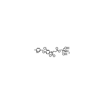 Cc1ccc(COc2cc3oc(=O)n(CCC(=O)OCC(N)(CO)CO)c3cc2Cl)cn1